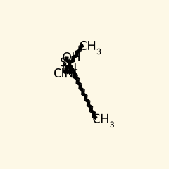 CCCCCCCCCCCCCCCCSc1nc(Cl)nc(C(CCCCCCC)C(O)=S)n1